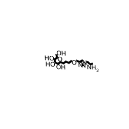 CC(N)Cn1cc(COCCCCC2OC(CO)C(O)C(O)C2O)nn1